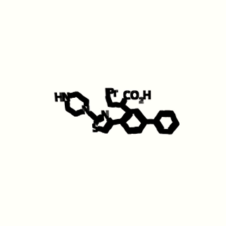 CC(C)CC(C(=O)O)c1cc(-c2ccccc2)ccc1-c1csc(N2CCNCC2)n1